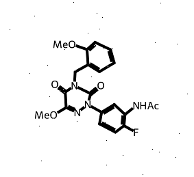 COc1ccccc1Cn1c(=O)c(OC)nn(-c2ccc(F)c(NC(C)=O)c2)c1=O